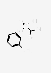 CCC(O)P(=O)(O)O.Cc1ccccc1